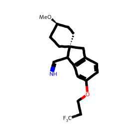 CO[C@H]1CC[C@]2(CC1)Cc1ccc(OCCC(F)(F)F)cc1C2C=N